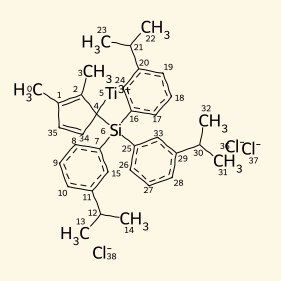 CC1=C(C)[C]([Ti+3])([Si](c2cccc(C(C)C)c2)(c2cccc(C(C)C)c2)c2cccc(C(C)C)c2)C=C1.[Cl-].[Cl-].[Cl-]